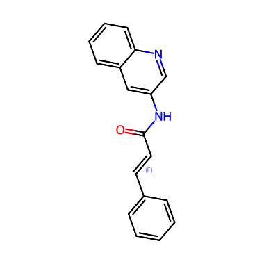 O=C(/C=C/c1ccccc1)Nc1cnc2ccccc2c1